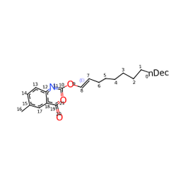 CCCCCCCCCCCCCCCC/C=C/Oc1nc2ccc(C)cc2c(=O)o1